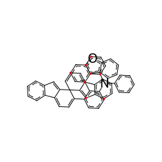 C1=CC2(C3=Cc4ccccc4C3=C1)C1=Cc3ccccc3C1=CC=C2c1cccc(N(c2ccccc2)c2ccccc2)c1-c1cccc2oc3ccccc3c12